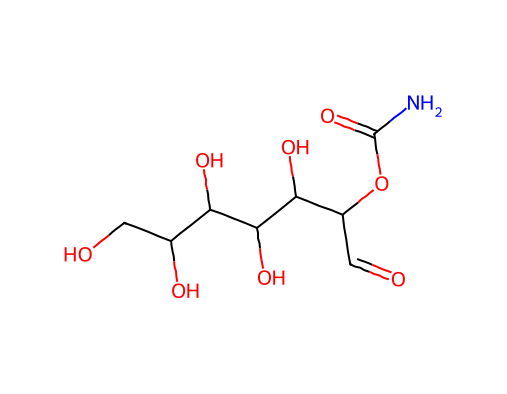 NC(=O)OC(C=O)C(O)C(O)C(O)C(O)CO